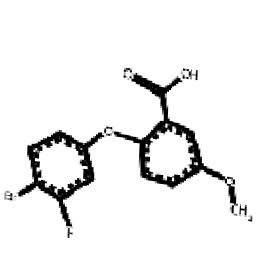 COc1ccc(Oc2ccc(Br)c(F)c2)c(C(=O)O)c1